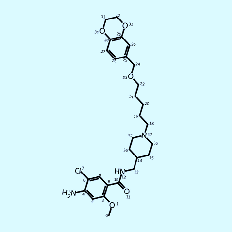 COc1cc(N)c(Cl)cc1C(=O)NCC1CCN(CCCCCOCc2ccc3c(c2)OCCO3)CC1